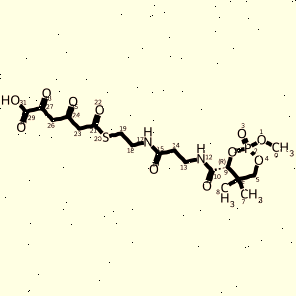 COP1(=O)OCC(C)(C)[C@H](C(=O)NCCC(=O)NCCSC(=O)CC(=O)CC(=O)C(=O)O)O1